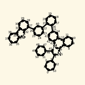 c1ccc(-c2nc3c4ccccc4c4cc(-c5ccccc5-c5cccc(-c6cccc7c6sc6ccccc67)c5)ccc4n3c2-c2ccccc2)cc1